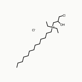 CCCCCCCCCCCCC[N+](CC)(CC)CC(O)CCl.[Cl-]